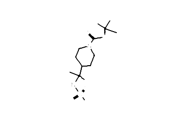 CC(C)(C)OC(=O)N1CCC(C(C)(C)NS(C)(=O)=O)CC1